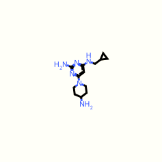 Nc1nc(NCC2CC2)cc(N2CCC(N)CC2)n1